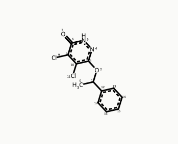 CC(Oc1n[nH]c(=O)c(Cl)c1Cl)c1ccccc1